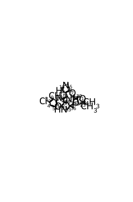 Cc1c(Cl)cccc1Nc1c(-c2ccncc2OC[C@H]2COC(C)(C)CO2)[nH]c2c1C(=O)NCC21CC1